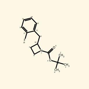 CC(C)(C)OC(=O)N1CCC1Cc1ccccc1F